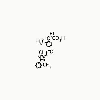 CCC(Oc1ccc(C(=O)CCc2sc(-c3ccccc3C(F)(F)F)nc2C)cc1C)C(=O)O